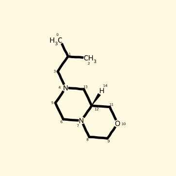 CC(C)CN1CCN2CCOC[C@H]2C1